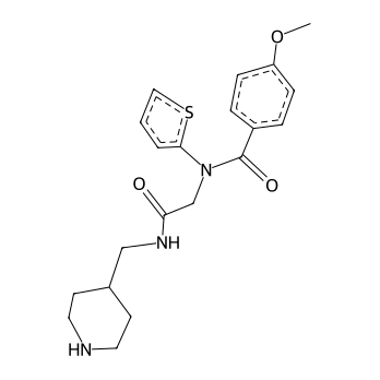 COc1ccc(C(=O)N(CC(=O)NCC2CCNCC2)c2cccs2)cc1